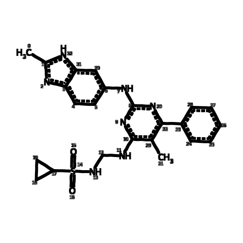 Cc1nc2ccc(Nc3nc(NCNS(=O)(=O)C4CC4)c(C)c(-c4ccccc4)n3)cc2[nH]1